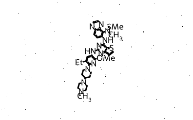 CCc1cc(Nc2nc(Nc3ccc4nccnc4c3N(C)SC)c3sccc3n2)c(OC)nc1N1CCC(N2CCN(C)CC2)CC1